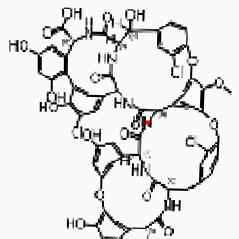 COc1c2cc3cc1Oc1ccc(cc1Cl)[C@@H](O)[C@H]1NC(=O)C(NC(=O)[C@@H]3NC(=O)[C@H]3NC(=O)[C@@H](Cc4ccc(c(Cl)c4)O2)NC(=O)[C@H](C)c2ccc(O)c(c2)Oc2cc(O)cc3c2)c2cc(Cl)c(O)c(c2)-c2c(O)cc(O)cc2[C@@H](C(=O)O)NC1=O